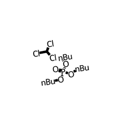 CCCCOP(=O)(OCCCC)OCCCC.ClC(Cl)Cl